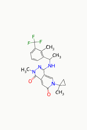 Cc1c(C(C)Nc2nn(C)c(=O)c3cc(=O)n(C4(C)CC4)cc23)cccc1C(F)(F)F